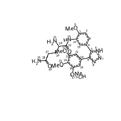 COc1ccc(-c2[nH]nnc2-c2cc(OC)c(OC)c(OC)c2)cc1NC(=O)C(N)CCC(N)=O.Cl